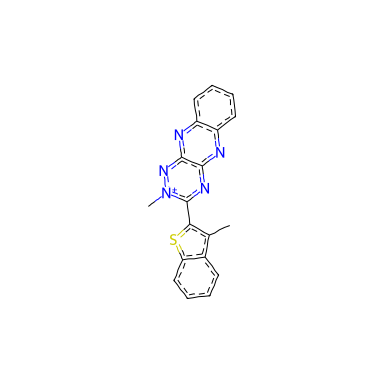 Cc1c(-c2nc3nc4ccccc4nc3n[n+]2C)sc2ccccc12